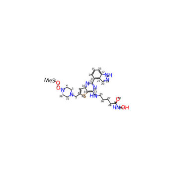 CSOON1CCN(Cc2cc3nc(-c4cccc5[nH]ncc45)nc(NCCCCC(=O)NO)c3s2)CC1